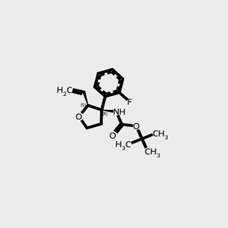 C=C[C@@H]1OCC[C@@]1(NC(=O)OC(C)(C)C)c1ccccc1F